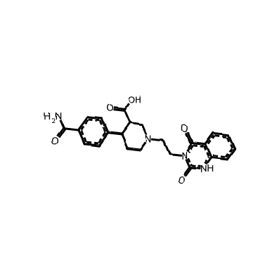 NC(=O)c1ccc(C2CCN(CCn3c(=O)[nH]c4ccccc4c3=O)CC2C(=O)O)cc1